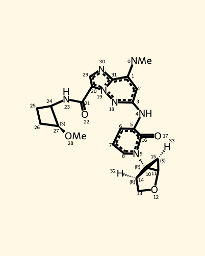 CNc1cc(Nc2cccn([C@]34C5OC[C@@H]3[C@H]54)c2=O)nn2c(C(=O)NC3CC[C@@H]3OC)cnc12